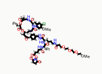 COCCOCCOCCOCCC(=O)NCCCC[C@H](NC(=O)[C@@H](NC(=O)CCCC(=O)ON1C(=O)CCC1=O)C(C)C)C(=O)NCc1ccc([C@H]2O[C@@H]2[C@@H](C)[C@@H]2C/C=C/C(=O)N[C@H](Cc3ccc(OC)c(Cl)c3)C(=O)NCC(C)(C)C(=O)O[C@@H](CC(C)C)C(=O)O2)cc1